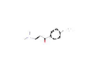 COc1ccc(C(=O)C=CN(C)C)cc1